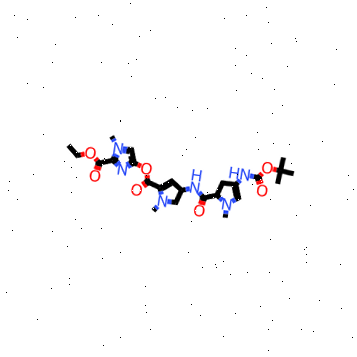 CCOC(=O)c1nc(OC(=O)C2=CC(NC(=O)C3CC(NC(=O)OC(C)(C)C)=CN3C)CN2C)cn1C